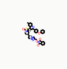 C=C[C@@H](Cn1cc(CON2C(=O)c3ccccc3C2=O)nn1)[C@H]1CCN2C(=O)S[C@@H](c3cc(-c4ccc(Oc5ccccc5)cc4)nc4ccc(C)cc34)[C@@H]2C1